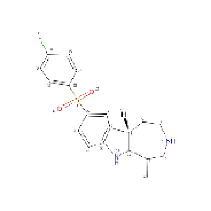 CC1CNCC[C@H]2c3cc(S(=O)(=O)c4ccc(F)cc4)ccc3NC12